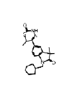 CC1SC(=O)NN=C1c1ccc2c(c1)C(C)(C)C(=O)N2CC1CCCCC1